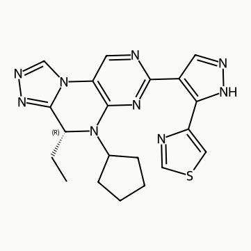 CC[C@@H]1c2nncn2-c2cnc(-c3cn[nH]c3-c3cscn3)nc2N1C1CCCC1